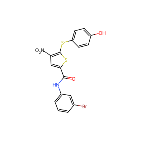 O=C(Nc1cccc(Br)c1)c1cc([N+](=O)[O-])c(Sc2ccc(O)cc2)s1